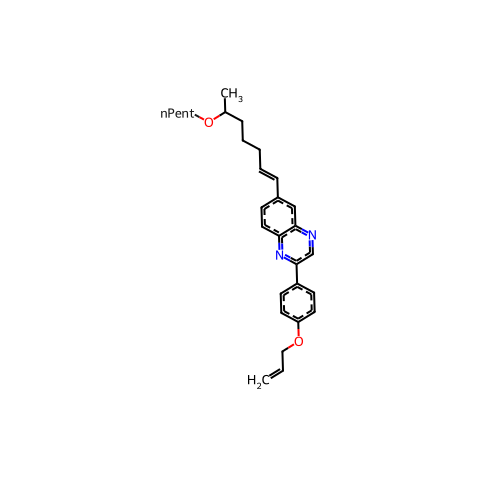 C=CCOc1ccc(-c2cnc3cc(/C=C/CCCC(C)OCCCCC)ccc3n2)cc1